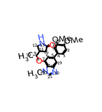 COc1ccc(-c2cc(O[C@H](C)C3CNC(=O)C3)c3c(c2)ncn3C)cc1OC